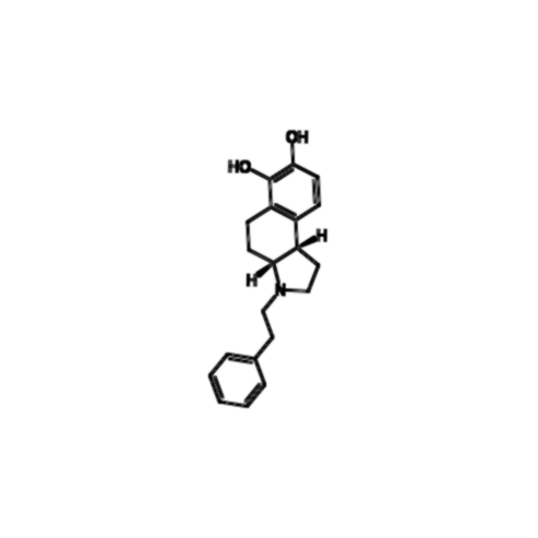 Oc1ccc2c(c1O)CC[C@@H]1[C@H]2CCN1CCc1ccccc1